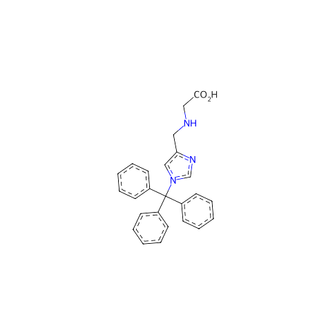 O=C(O)CNCc1cn(C(c2ccccc2)(c2ccccc2)c2ccccc2)cn1